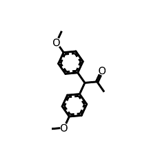 COc1ccc(C(C(C)=O)c2ccc(OC)cc2)cc1